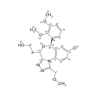 COCc1nnc2n1-c1ccc(Cl)cc1[C@H](c1cccc(OC)c1OC)OC2CCO